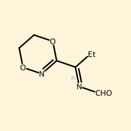 CC/C(=N\C=O)C1=NOCCO1